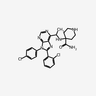 CC(NC1(C(N)=O)CCNCC1)c1ncnc2c1nc(-c1ccccc1Cl)n2-c1ccc(Cl)cc1